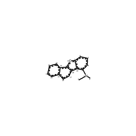 CN(C)c1cccc2oc3c4ccccc4ccc3c12